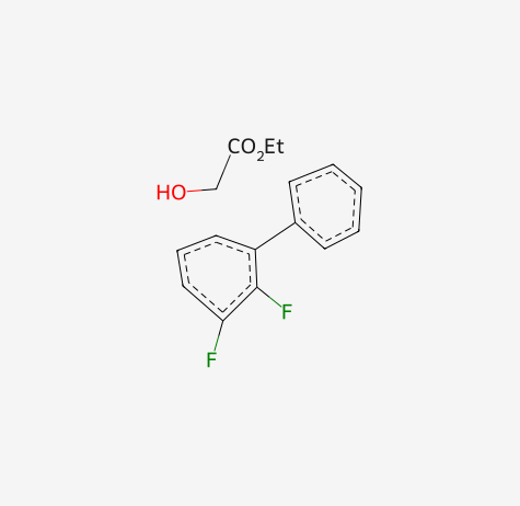 CCOC(=O)CO.Fc1cccc(-c2ccccc2)c1F